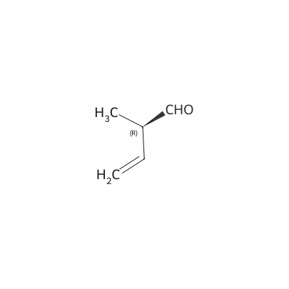 C=C[C@@H](C)C=O